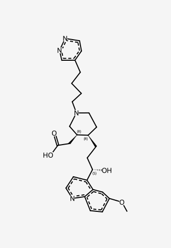 COc1ccc2nccc([C@@H](O)CC[C@@H]3CCN(CCCCc4ccnnc4)C[C@@H]3CC(=O)O)c2c1